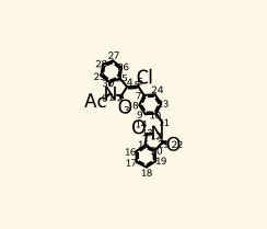 CC(=O)N1C(=O)/C(=C(/Cl)c2ccc(CN3C(=O)c4ccccc4C3=O)cc2)c2ccccc21